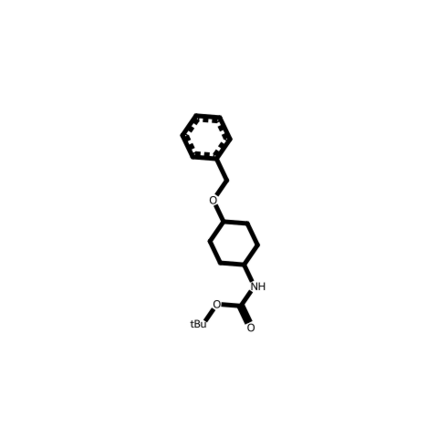 CC(C)(C)OC(=O)NC1CCC(OCc2ccccc2)CC1